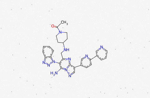 CC(=O)N1CCC(NCc2nc3c(-c4ccc(-c5cccnc5)nc4)cnn3c(N)c2-n2nnc3ccccc32)CC1